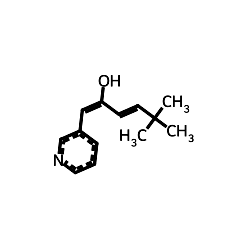 CC(C)(C)/C=C/C(O)=C\c1cccnc1